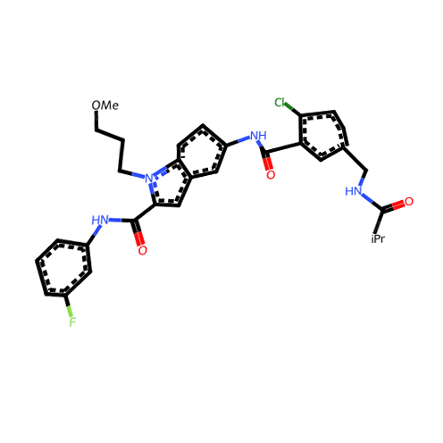 COCCCn1c(C(=O)Nc2cccc(F)c2)cc2cc(NC(=O)c3cc(CNC(=O)C(C)C)ccc3Cl)ccc21